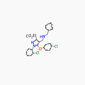 CCOC(=O)c1nn(-c2ccccc2Cl)c(Oc2ccc(Cl)cc2)c1CNCc1ccccc1